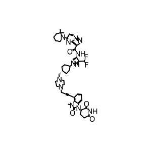 Cn1c(=O)n(C2CCC(=O)NC2=O)c2cccc(C#CCN3CCN(C[C@H]4CC[C@H](n5cc(NC(=O)c6cnn7ccc(N8CCCCC8(C)C)nc67)c(C(F)F)n5)CC4)CC3)c21